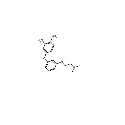 CN(C)CCOc1cccc(Oc2ccc(N)c(N)c2)c1